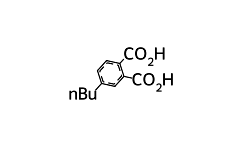 CCCCc1ccc(C(=O)O)c(C(=O)O)c1